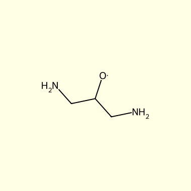 NCC([O])CN